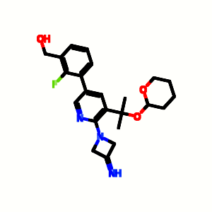 CC(C)(OC1CCCCO1)c1cc(-c2cccc(CO)c2F)cnc1N1CC(=N)C1